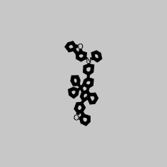 c1ccc(N(c2ccc(-c3ccc4c(c3)C(c3ccccc3)(c3ccccc3)c3cc(-c5ccc6oc7ccccc7c6c5)c5ccccc5c3-4)cc2)c2ccc3c(c2)oc2ccccc23)cc1